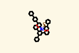 c1ccc(-c2ccc(-c3ccc(N(c4c(-c5ccccc5)cc(-c5ccccc5)cc4-c4ccccc4)c4cccc5c4sc4ccccc45)cc3)cc2)cc1